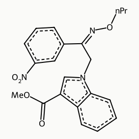 CCCO/N=C(\Cn1cc(C(=O)OC)c2ccccc21)c1cccc([N+](=O)[O-])c1